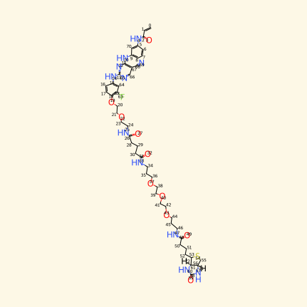 C=CC(=O)Nc1cccc(Nc2nc(Nc3ccc(OCCOCCNC(=O)CCCC(=O)NCCCOCCOCCOCCCNC(=O)CCCC4SC[C@@H]5NC(=O)N[C@H]45)c(F)c3)ncc2C#N)c1